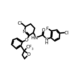 O=C(Nc1ccc(Cl)cc1F)NC1CCC(Cl)N=C1Oc1ccccc1C1(C(F)(F)F)CCO1